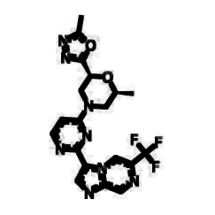 Cc1nnc([C@@H]2CN(c3ccnc(-c4cnc5cnc(C(F)(F)F)cn45)n3)C[C@H](C)O2)o1